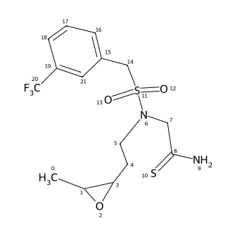 CC1OC1CCN(CC(N)=S)S(=O)(=O)Cc1cccc(C(F)(F)F)c1